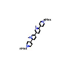 CCCCCC[n+]1ccc(-c2ccc(-c3ccc(-c4cc[n+](CCCCCC)cc4)[n+](C)c3)c[n+]2C)cc1